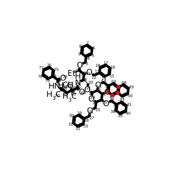 CC[C@@H](OCc1ccccc1)[C@@H](OCc1ccccc1)[C@H](COC1OC(COCc2ccccc2)C(OCc2ccccc2)C(OCc2ccccc2)C1OCc1ccccc1)NC(=O)C(C)(C)CC(C)(C)NC(=O)c1ccccc1